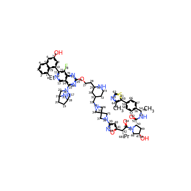 CCc1cccc2cc(O)cc(-c3ncc4c(N5CC6CCC(C5)N6)nc(OCCC5CC(CN6CC7(C6)CN(c6cc([C@H](C(=O)N8C[C@H](O)C[C@H]8C(=O)N[C@@H](C)c8ccc(-c9scnc9C)cc8)C(C)C)on6)C7)CCN5)nc4c3F)c12